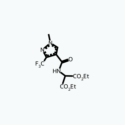 CCOC(=O)C(NC(=O)c1cn(C)nc1C(F)(F)F)C(=O)OCC